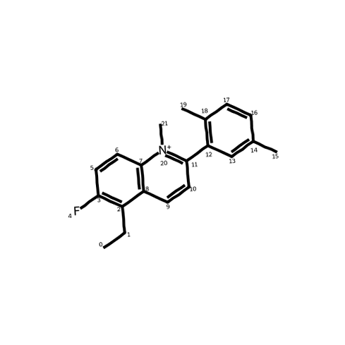 CCc1c(F)ccc2c1ccc(-c1cc(C)ccc1C)[n+]2C